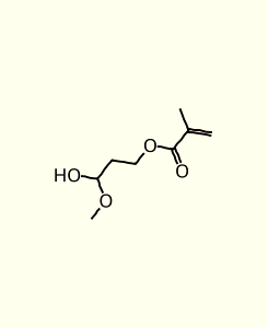 C=C(C)C(=O)OCCC(O)OC